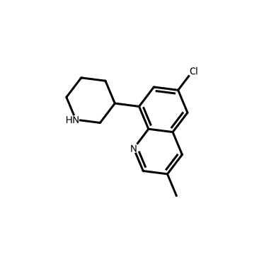 Cc1cnc2c(C3CCCNC3)cc(Cl)cc2c1